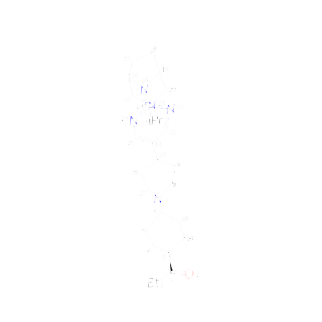 CCC(=O)[C@H]1CC[C@H](N2CCC(c3cnc(N4C5CCC4CN(C(C)C)C5)nc3)CC2)CC1